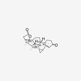 C[C@H]1[C@H]2[C@@H]3C4CC4C4=CC(=O)CC[C@]4(C)[C@H]3CC[C@]2(C)[C@]2(CCC(=O)O2)[C@H]1C